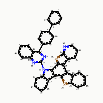 c1ccc(-c2ccc(-c3nc(-n4c5ccccc5c5c6sc7ccccc7c6c6c7cccnc7sc6c54)nc4ccccc34)cc2)cc1